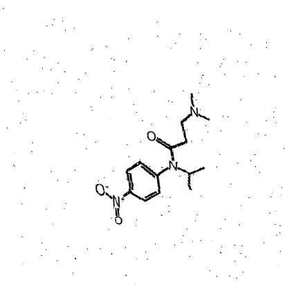 CC(C)N(C(=O)CCN(C)C)c1ccc([N+](=O)[O-])cc1